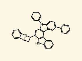 c1ccc(-c2ccc3c(c2)c2c4c([nH]c5ccccc54)c(C4Cn5c6ccccc6n54)cc2n3-c2ccccc2)cc1